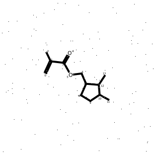 C=C(C)C(=O)OCC1CCC(C)C1C